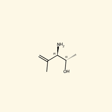 C=C(C)[C@@H](N)[C@H](C)O